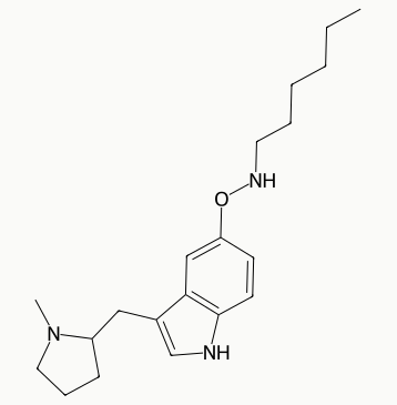 CCCCCCNOc1ccc2[nH]cc(CC3CCCN3C)c2c1